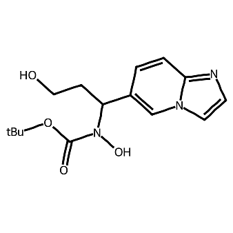 CC(C)(C)OC(=O)N(O)C(CCO)c1ccc2nccn2c1